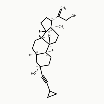 C=C(CO)[C@H]1CC[C@H]2[C@@H]3CC[C@@H]4C[C@](O)(C#CC5CC5)CC[C@@H]4[C@H]3CC[C@]12C